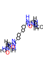 COC(=O)N[C@H](C(=O)N1[C@@H]2C[C@@H]2C[C@H]1c1nc(-c2ccc3cc(-c4ccc5cc(-c6c[nH]c([C@@H]7C[C@H]8C[C@H]8N7C(=O)[C@@H](NC(=O)O)C(C)C)n6)ccc5c4)ccc3c2)c[nH]1)C(C)C